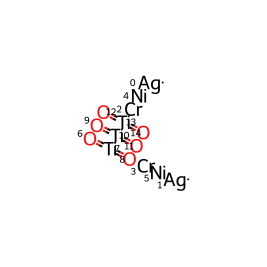 [Ag].[Ag].[Cr].[Cr].[Ni].[Ni].[O]=[Ti]=[O].[O]=[Ti]=[O].[O]=[Ti]=[O]